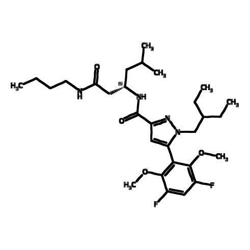 CCCCNC(=O)C[C@H](CC(C)C)NC(=O)c1cc(-c2c(OC)c(F)cc(F)c2OC)n(CC(CC)CC)n1